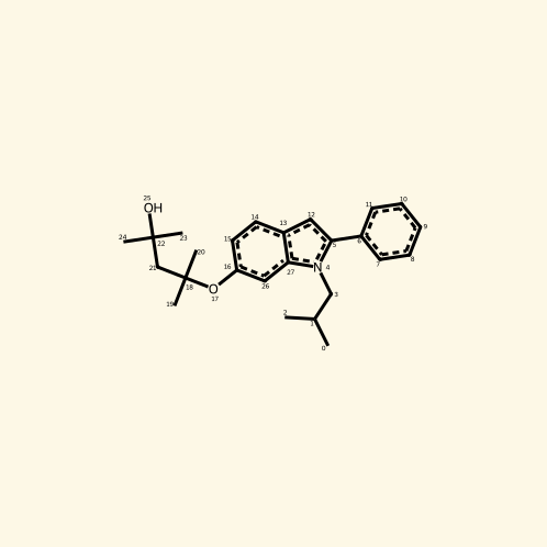 CC(C)Cn1c(-c2ccccc2)cc2ccc(OC(C)(C)CC(C)(C)O)cc21